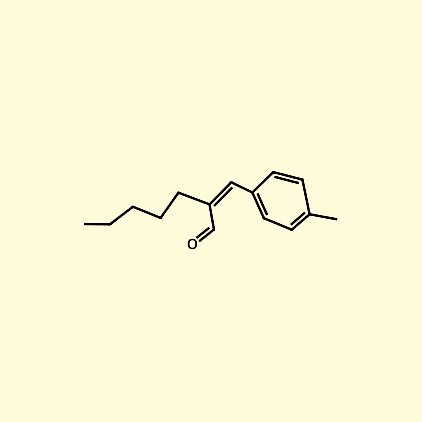 CCCCC/C(C=O)=C/c1ccc(C)cc1